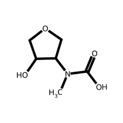 CN(C(=O)O)C1COCC1O